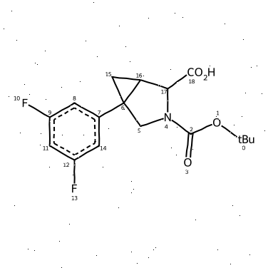 CC(C)(C)OC(=O)N1CC2(c3cc(F)cc(F)c3)CC2C1C(=O)O